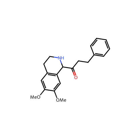 COc1cc2c(cc1OC)C(C(=O)CCc1ccccc1)NCC2